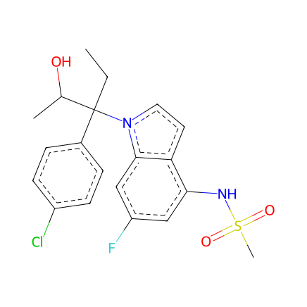 CCC(c1ccc(Cl)cc1)(C(C)O)n1ccc2c(NS(C)(=O)=O)cc(F)cc21